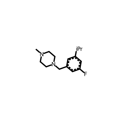 CC(C)c1cc(F)cc(CN2CCN(C)CC2)c1